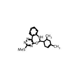 CSc1nnc2c(n1)OC(C1CC=C(C)CC1C)Nc1ccccc1-2